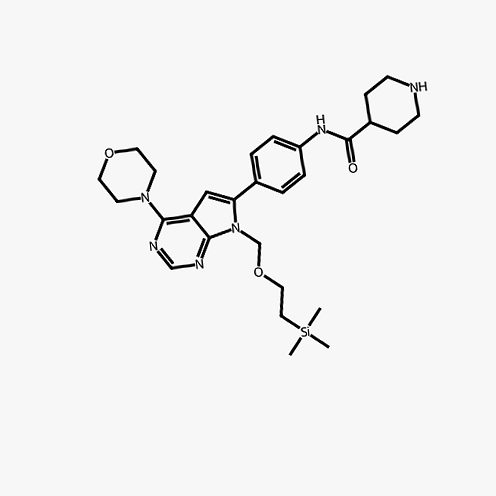 C[Si](C)(C)CCOCn1c(-c2ccc(NC(=O)C3CCNCC3)cc2)cc2c(N3CCOCC3)ncnc21